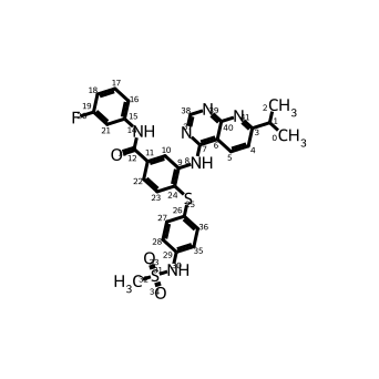 CC(C)c1ccc2c(Nc3cc(C(=O)Nc4cccc(F)c4)ccc3Sc3ccc(NS(C)(=O)=O)cc3)ncnc2n1